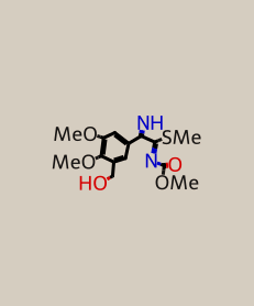 COC(=O)N=C(SC)C(=N)c1cc(CO)c(OC)c(OC)c1